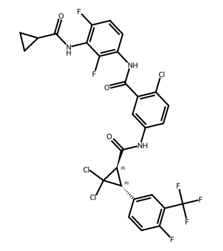 O=C(Nc1ccc(F)c(NC(=O)C2CC2)c1F)c1cc(NC(=O)[C@H]2[C@H](c3ccc(F)c(C(F)(F)F)c3)C2(Cl)Cl)ccc1Cl